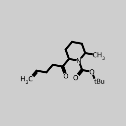 C=CCCC(=O)C1CCCC(C)N1C(=O)OC(C)(C)C